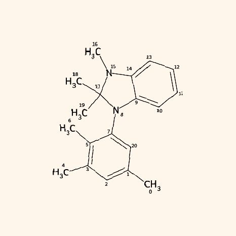 Cc1cc(C)c(C)c(N2c3ccccc3N(C)C2(C)C)c1